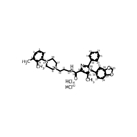 Cc1cccc(N2CCN(CCCNC(=O)c3nc(-c4ccccc4)n(-c4ccc5c(c4)OCO5)c3C)CC2)c1C.Cl.Cl